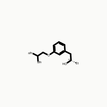 CCCC(CCC)COc1cccc(C[C@@H](O)CC)c1